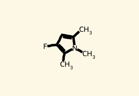 Cc1cc(F)c(C)n1C